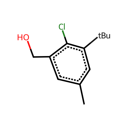 Cc1cc(CO)c(Cl)c(C(C)(C)C)c1